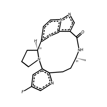 C[C@@H]1CCc2ncc(F)cc2N2CCC[C@H]2c2ccn3ncc(c3n2)C(=O)N1